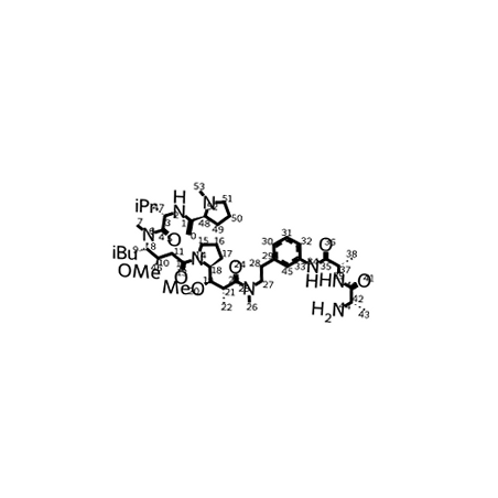 C=C(N[C@H](C(=O)N(C)[C@@H]([C@@H](C)CC)[C@@H](CC(=O)N1CCC[C@H]1[C@H](OC)[C@@H](C)C(=O)N(C)CCc1cccc(NC(=O)[C@H](C)NC(=O)[C@H](C)N)c1)OC)C(C)C)[C@@H]1CCCN1C